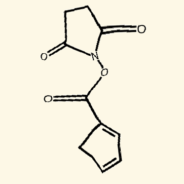 O=C(ON1C(=O)CCC1=O)C1=CC=CC1